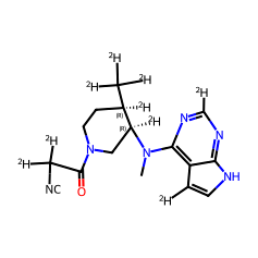 [2H]c1nc(N(C)[C@@]2([2H])CN(C(=O)C([2H])([2H])[N+]#[C-])CC[C@@]2([2H])C([2H])([2H])[2H])c2c([2H])c[nH]c2n1